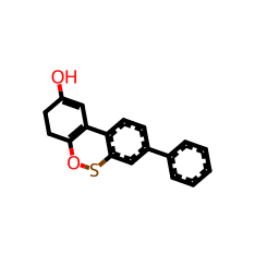 OC1=CC2=C(CC1)OSc1cc(-c3ccccc3)ccc12